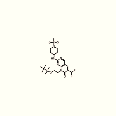 CC(C)(C)[Si](C)(C)OCCn1c(=O)c(C(F)F)cc2cnc(NC3CCN(S(C)(=O)=O)CC3)nc21